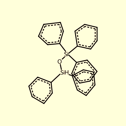 c1ccc([SiH](O[Si](c2ccccc2)(c2ccccc2)c2ccccc2)c2ccccc2)cc1